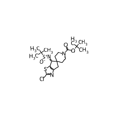 CC(C)(C)OC(=O)N1CCC2(CC1)Cc1nc(Cl)sc1/C2=N\[S+]([O-])C(C)(C)C